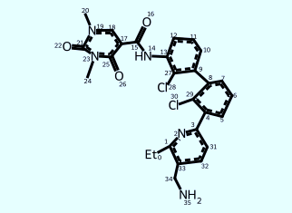 CCc1nc(-c2cccc(-c3cccc(NC(=O)c4cn(C)c(=O)n(C)c4=O)c3Cl)c2Cl)ccc1CN